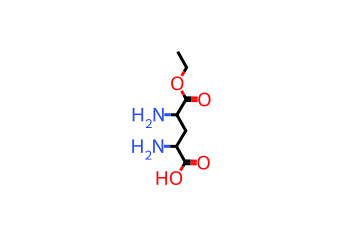 CCOC(=O)C(N)CC(N)C(=O)O